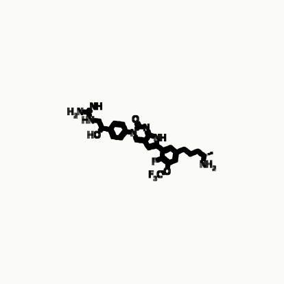 C[C@H](N)CCCc1cc(OC(F)(F)F)c(F)c(-c2cc3cn(-c4ccc(C(O)CNC(=N)N)cc4)c(=O)nc3[nH]2)c1